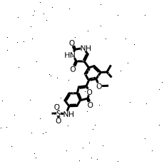 COc1c(-c2cc3ccc(NS(C)(=O)=O)cc3c(=O)o2)cc(-c2c[nH]c(=O)[nH]c2=O)cc1C(C)C